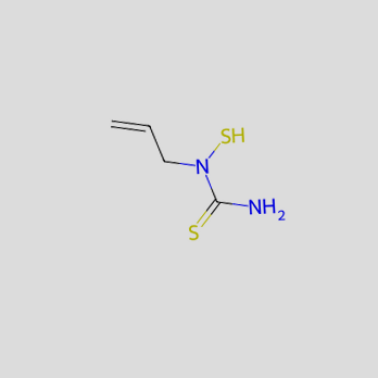 C=CCN(S)C(N)=S